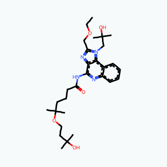 CCOCc1nc2c(NC(=O)CCCC(C)(C)OCCC(C)(C)O)nc3ccccc3c2n1CC(C)(C)O